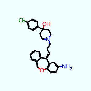 Nc1ccc2c(c1)/C(=C/CCN1CCC(O)(c3ccc(Cl)cc3)CC1)c1ccccc1CO2